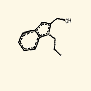 OCc1cc2ccccc2n1CCF